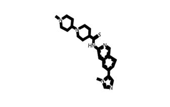 CN1CCC(N2CCC(C(=S)Nc3cc4cc(-c5cncn5C)ccc4cn3)CC2)CC1